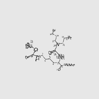 CNC(=O)C(CCCCNC(=O)OC(C)(C)C)NC(=O)N(CCSC(C)=O)CCC(C)C